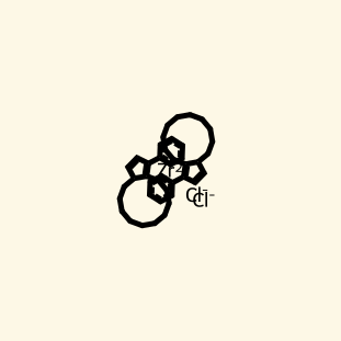 C1=CC2CCCCCCCCC[CH]([Zr+2][CH]3CCCCCCCCCC4C=CC(c5ccccc5)=C43)C2=C1c1ccccc1.[Cl-].[Cl-]